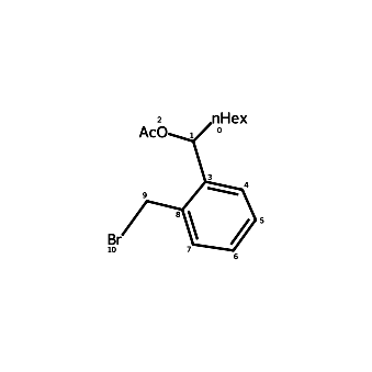 CCCCCCC(OC(C)=O)c1ccccc1CBr